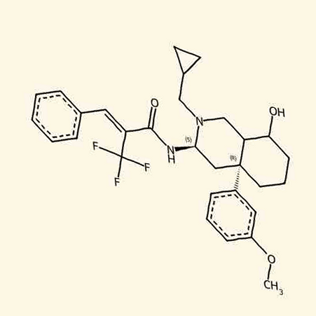 COc1cccc([C@@]23CCCC(O)C2CN(CC2CC2)[C@H](NC(=O)C(=Cc2ccccc2)C(F)(F)F)C3)c1